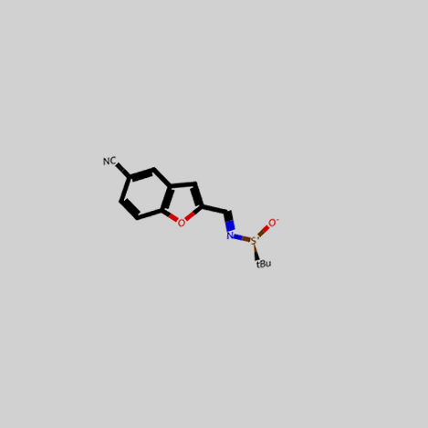 CC(C)(C)[S@+]([O-])N=Cc1cc2cc(C#N)ccc2o1